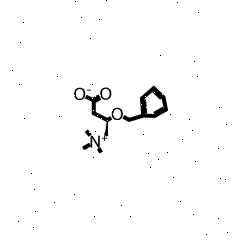 C[N+](C)(C)C[C@@H](CC(=O)[O-])OCc1ccccc1